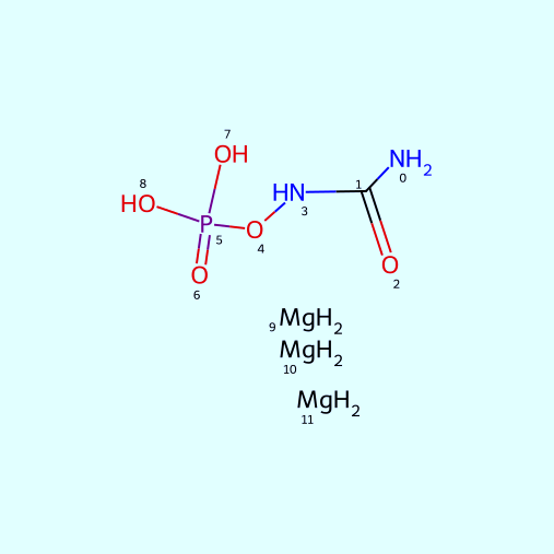 NC(=O)NOP(=O)(O)O.[MgH2].[MgH2].[MgH2]